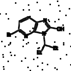 CCC(CC)n1c(O)nc2ccc(Br)nc21